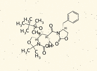 CC1(C)OC[C@H]([C@H](O[Si](C)(C)C(C)(C)C)[C@H](C(=O)N2C(=O)OC[C@H]2Cc2ccccc2)C2CC2)N1C(=O)O